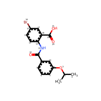 CC(C)Oc1cccc(C(=O)Nc2ccc(Br)cc2C(=O)O)c1